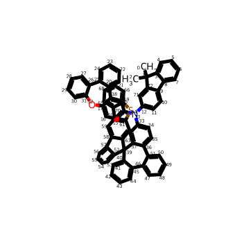 CC1(C)c2ccccc2-c2ccc(N(c3ccc4c(c3)-c3ccccc3-c3ccccc3O4)c3ccc4c(c3)C3(c5ccccc5-c5ccccc5-4)c4ccccc4-c4cc5c(cc43)sc3ccccc35)cc21